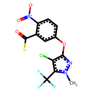 Cn1nc(Oc2ccc([N+](=O)[O-])c(C(=O)[S])c2)c(Cl)c1C(F)(F)F